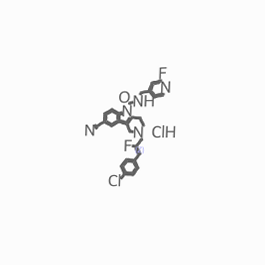 Cl.N#Cc1ccc2c(c1)c1c(n2C(=O)NCc2ccnc(F)c2)CCN(C/C(F)=C/c2ccc(Cl)cc2)C1